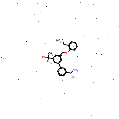 C[C@@H](N)c1cccc(-c2cc(COc3ccccc3CC(=O)O)cc(C(C)(C)O)c2)c1